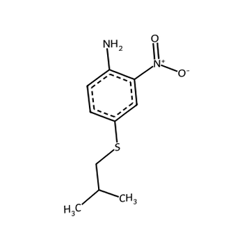 CC(C)CSc1ccc(N)c([N+](=O)[O-])c1